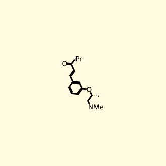 CNC[C@@H](C)Oc1cccc(/C=C/C(=O)C(C)C)c1